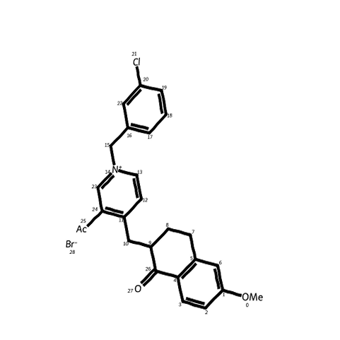 COc1ccc2c(c1)CCC(Cc1cc[n+](Cc3cccc(Cl)c3)cc1C(C)=O)C2=O.[Br-]